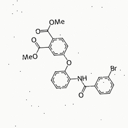 COC(=O)c1ccc(Oc2ccccc2NC(=O)c2cccc(Br)c2)cc1C(=O)OC